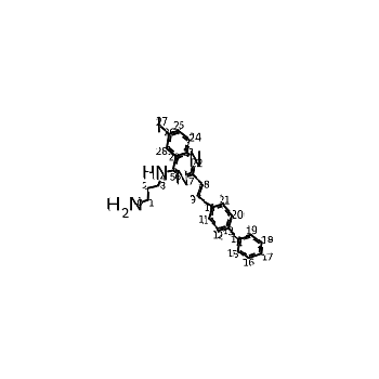 NCCCNc1nc(C=Cc2ccc(-c3ccccc3)cc2)nc2ccc(I)cc12